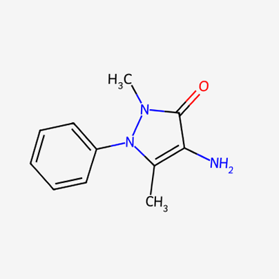 Cc1c(N)c(=O)n(C)n1-c1ccccc1